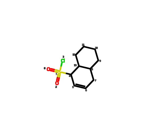 O=S(=O)(Cl)C1C=CCC2CCCCC21